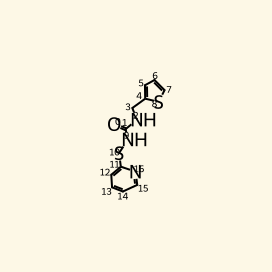 O=C(NCc1cccs1)NSc1ccccn1